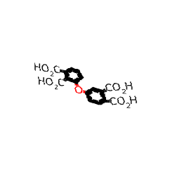 O=C(O)c1ccc(Oc2cccc(C(=O)O)c2C(=O)O)cc1C(=O)O